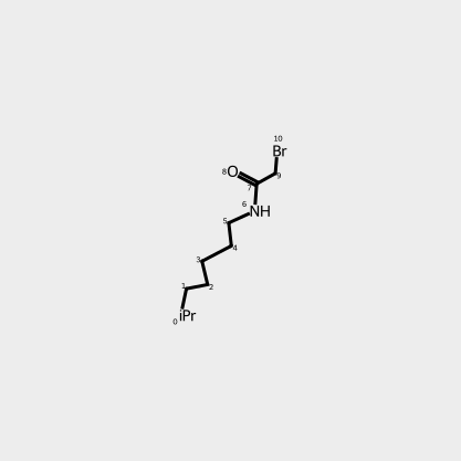 CC(C)CCCCCNC(=O)CBr